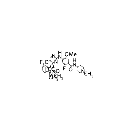 C=S(C)(=O)N(C)c1ccccc1Oc1nc(Nc2cc(F)c(C(=O)NC3CCN(C)CC3)cc2OC)ncc1C(F)(F)F